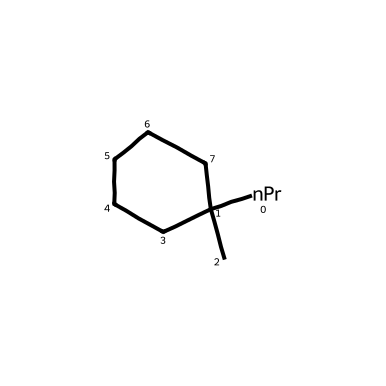 C[CH]CC1(C)CCCCC1